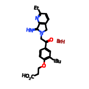 Br.CCc1ccc2c(n1)C(=N)N(CC(=O)c1ccc(OCCC(=O)O)c(C(C)(C)C)c1)C2